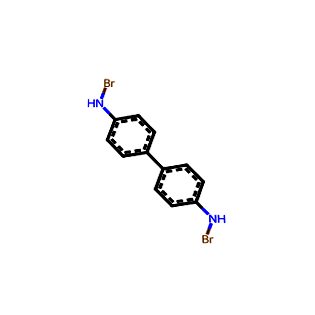 BrNc1ccc(-c2ccc(NBr)cc2)cc1